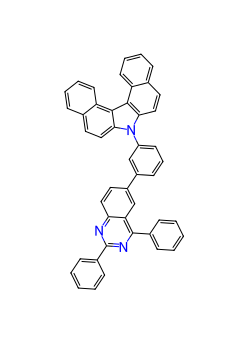 c1ccc(-c2nc(-c3ccccc3)c3cc(-c4cccc(-n5c6ccc7ccccc7c6c6c7ccccc7ccc65)c4)ccc3n2)cc1